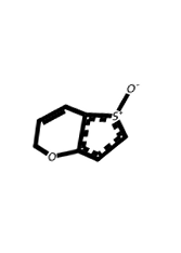 [O-][s+]1ccc2c1C=CCO2